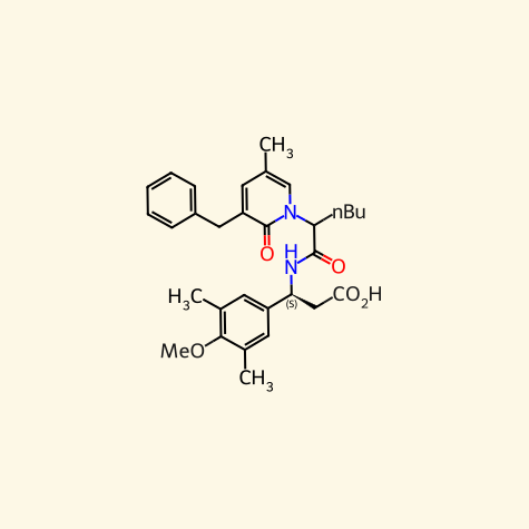 CCCCC(C(=O)N[C@@H](CC(=O)O)c1cc(C)c(OC)c(C)c1)n1cc(C)cc(Cc2ccccc2)c1=O